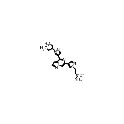 CCC(CC)n1cc(-c2nc(-c3cnn(CC[S+](N)[O-])c3)cn3nccc23)cn1